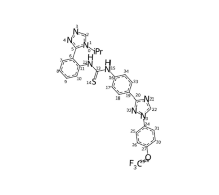 CC(C)n1cnnc1-c1ccccc1NC(=S)Nc1ccc(-c2ncn(-c3ccc(OC(F)(F)F)cc3)n2)cc1